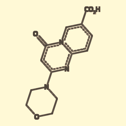 O=C(O)c1ccc2nc(N3CCOCC3)cc(=O)n2c1